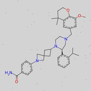 COc1cc(CN2CCN(C3CC4(C3)CN(c3ccc(C(N)=O)cc3)C4)[C@H](c3ccccc3C(C)C)C2)cc2c1OCCC2(C)C